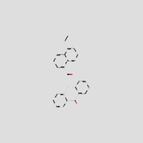 C=Cc1cccc2c(C(=O)OC3c4ccccc4C(=O)c4ccccc43)cccc12